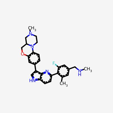 CNCc1cc(C)c(-c2ccc3[nH]cc(-c4ccc5c(c4)OCC4CN(C)CCN54)c3n2)c(F)c1